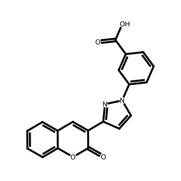 O=C(O)c1cccc(-n2ccc(-c3cc4ccccc4oc3=O)n2)c1